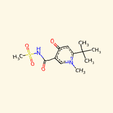 Cn1cc(C(=O)NS(C)(=O)=O)c(=O)cc1C(C)(C)C